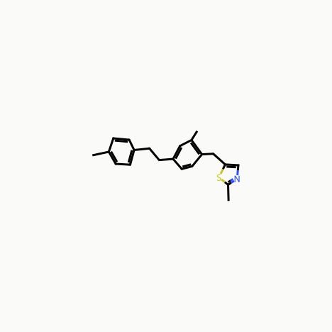 Cc1ccc(CCc2ccc(Cc3cnc(C)s3)c(C)c2)cc1